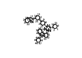 c1ccc(-c2nc(-c3ccc(-c4cccc(-c5cn6ccccc6n5)c4)cc3)nc(-c3cccc4c3c3ccccc3n4-c3ccccc3)n2)cc1